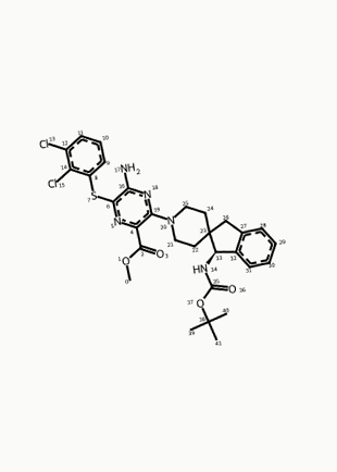 COC(=O)c1nc(Sc2cccc(Cl)c2Cl)c(N)nc1N1CCC2(CC1)Cc1ccccc1[C@H]2NC(=O)OC(C)(C)C